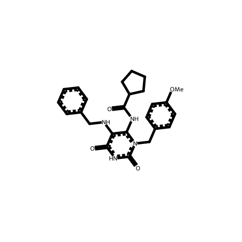 COc1ccc(Cn2c(NC(=O)C3CCCC3)c(NCc3ccccc3)c(=O)[nH]c2=O)cc1